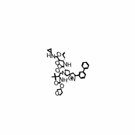 CCC[C@H](NC(=O)[C@@H]1C[C@]2(CC(c3cccc(-c4ccccc4)c3)=NO2)CN1C(=O)[C@@H](NC(=O)O[C@H]1CCOC1)C(C)(C)C)C(=O)C(=O)NC1CC1